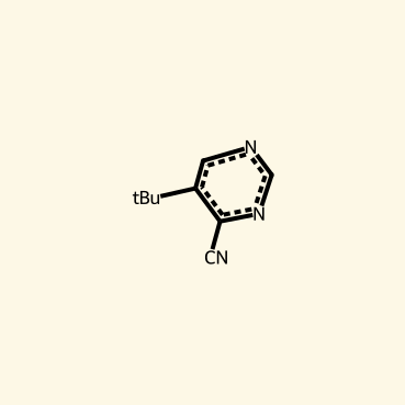 CC(C)(C)c1cncnc1C#N